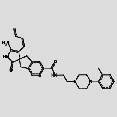 C=C/C=C\C1=C(N)NC(=O)C12Cc1cnc(C(=O)NCCN3CCN(c4ccccc4C)CC3)cc1C2